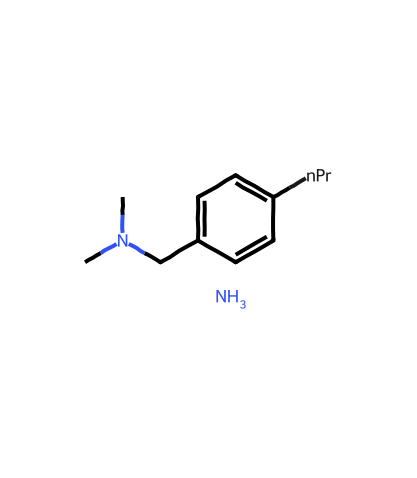 CCCc1ccc(CN(C)C)cc1.N